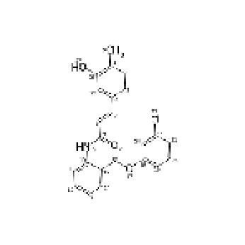 Cc1ccc(/C=C/C(=O)Nc2ccccc2COc2cccc(Cl)c2)cc1O